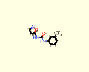 O=C(Nc1cccc(C(F)(F)F)c1)Nc1ccno1